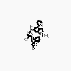 CN1CCc2c(cc(Nc3ncc(Cl)c(N4CC5(CC(=O)O5)c5ccccc54)n3)cc2-c2ccccn2)C1